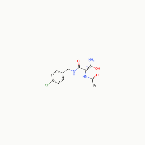 CC(C)C(=O)N/C(C(=O)NCc1ccc(Cl)cc1)=C(/N)O